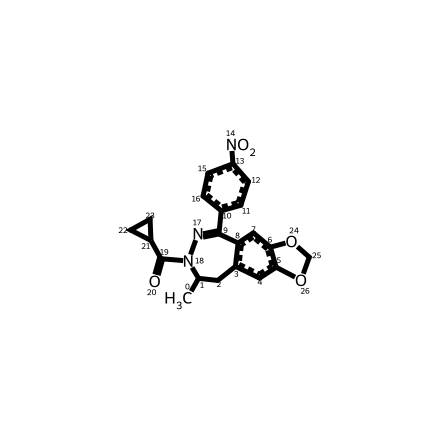 CC1Cc2cc3c(cc2C(c2ccc([N+](=O)[O-])cc2)=NN1C(=O)C1CC1)OCO3